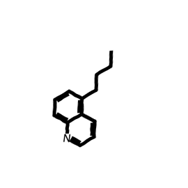 CCCCc1cccc2ncccc12